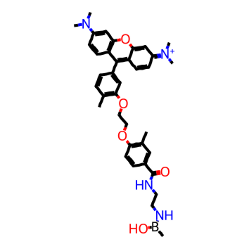 CB(O)NCCNC(=O)c1ccc(OCCOc2cc(-c3c4ccc(=[N+](C)C)cc-4oc4cc(N(C)C)ccc34)ccc2C)c(C)c1